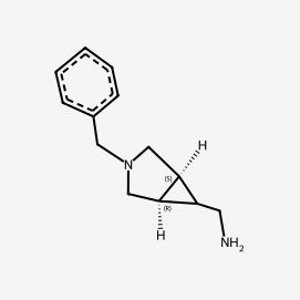 NCC1[C@H]2CN(Cc3ccccc3)C[C@@H]12